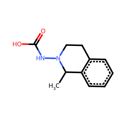 CC1c2ccccc2CCN1NC(=O)O